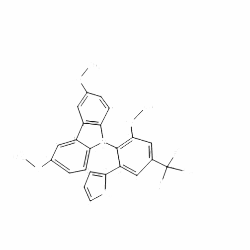 COc1ccc2c(c1)c1cc(OC)ccc1n2-c1c(OC)cc(C(F)(F)F)cc1-c1cccs1